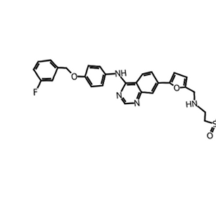 CS(=O)(=O)CCNCc1ccc(-c2ccc3c(Nc4ccc(OCc5cccc(F)c5)cc4)ncnc3c2)o1